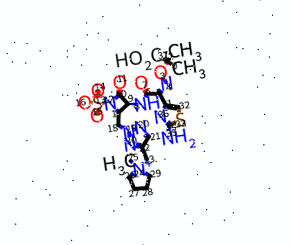 CC(C)(O/N=C(\C(=O)N[C@@H]1C(=O)N(S(=O)(=O)[O-])C1Cn1ncc(C[N+]2(C)CCCC2)n1)c1csc(N)n1)C(=O)O